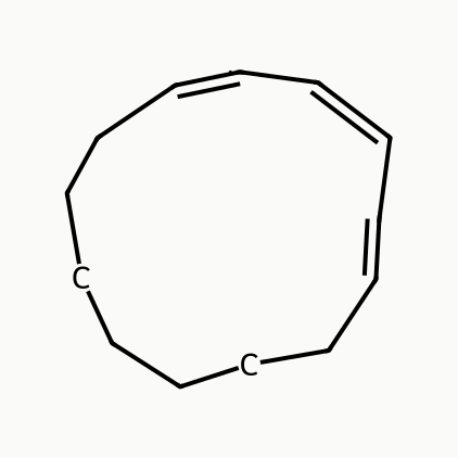 [C]1=CCCCCCCCC=CC=C1